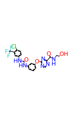 O=C(Nc1cccc(Oc2ncnc(C(=O)NCCO)n2)c1)Nc1ccc(Cl)c(C(F)(F)F)c1